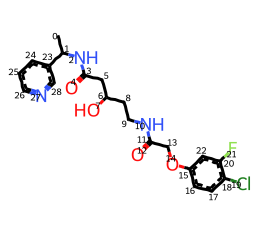 CC(NC(=O)CC(O)CCNC(=O)COc1ccc(Cl)c(F)c1)c1cccnc1